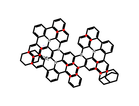 C=C(/C=C1\C2=C(C)N(c3c(-c4ccccc4)cccc3-c3ccccc3)c3cc4c(cc3B2c2ccccc2N1c1c(-c2ccccc2)cccc1-c1ccccc1)B1c2ccccc2N(c2c(-c3ccccc3)cccc2-c2ccccc2)c2cc(N3C5CC6CC(C5)CC3C6)cc(c21)N4c1ccccc1)N1C2CCCC1CCC2